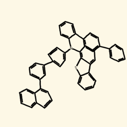 c1ccc(-c2ccc(-c3ccccc3N(c3ccc(-c4cccc(-c5cccc6ccccc56)c4)cc3)c3cccc4c3sc3ccccc34)cc2)cc1